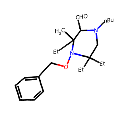 CCCCN1CC(CC)(CC)N(OCc2ccccc2)C(C)(CC)C1C=O